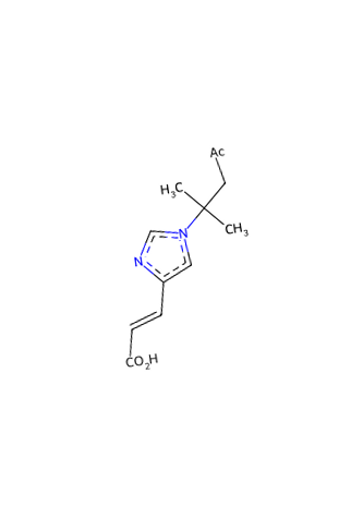 CC(=O)CC(C)(C)n1cnc(C=CC(=O)O)c1